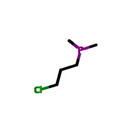 CP(C)CCCCl